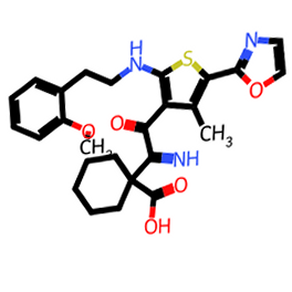 COc1ccccc1CCNc1sc(-c2ncco2)c(C)c1C(=O)C(=N)C1(C(=O)O)CCCCC1